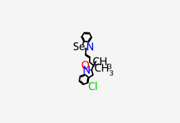 CC1(C)C(C=Cc2nc3ccccc3[se]2)ON2c3cccc(Cl)c3CC21